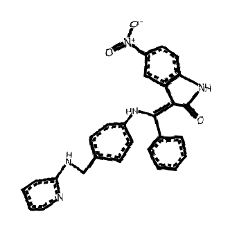 O=C1Nc2ccc([N+](=O)[O-])cc2C1=C(Nc1ccc(CNc2ccccn2)cc1)c1ccccc1